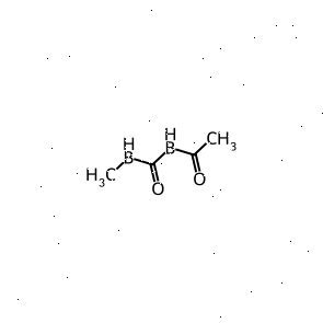 CBC(=O)BC(C)=O